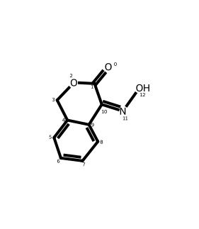 O=C1OCc2ccccc2/C1=N/O